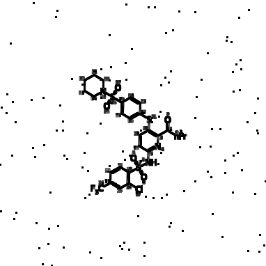 CCCC(=O)c1nc(NS(=O)(=O)c2ccc(C(F)(F)F)cc2Cl)ccc1Sc1ccc(S(=O)(=O)N2CCCCC2)cc1